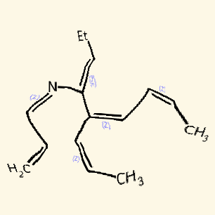 C=C\C=N/C(=C\CC)C(/C=C\C)=C\C=C/C